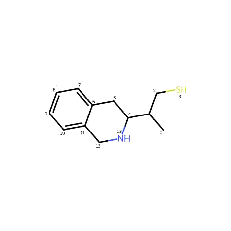 CC(CS)C1Cc2ccccc2CN1